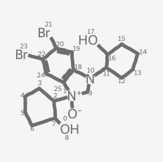 [O-][N+]1(C2CCCCC2O)CN(C2CCCCC2O)c2cc(Br)c(Br)cc21